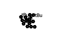 CN(c1cc2c3c(c1)-n1c4ccccc4c4cc(-c5ccccc5-c5ccc(-c6ccccc6)cc5)cc(c41)B3c1cc(-c3ccccc3-c3ccc(-c4ccccc4)cc3)ccc1N2c1ccccc1)c1cc(C(C)(C)C)ccc1-c1ccc(C(C)(C)C)cc1